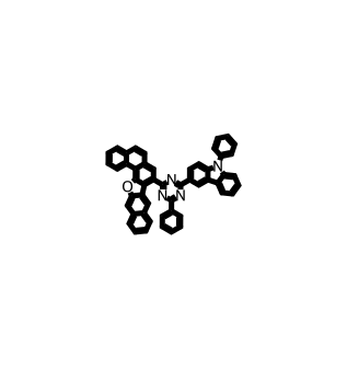 c1ccc(-c2nc(-c3ccc4c(c3)c3ccccc3n4-c3ccccc3)nc(-c3cc4ccc5ccccc5c4c4oc5cc6ccccc6cc5c34)n2)cc1